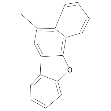 Cc1cc2c3ccccc3oc2c2ccccc12